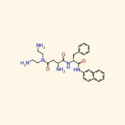 NCCN(CCN)C(=O)C[C@H](N)C(=O)N[C@@H](Cc1ccccc1)C(=O)Nc1ccc2ccccc2c1